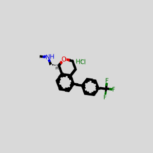 CNC[C@@H]1OCCc2c(-c3ccc(C(F)(F)F)cc3)cccc21.Cl